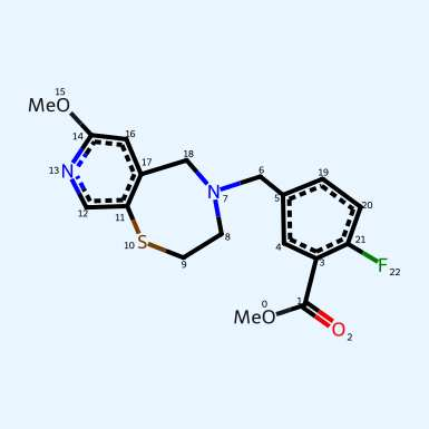 COC(=O)c1cc(CN2CCSc3cnc(OC)cc3C2)ccc1F